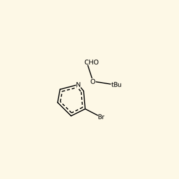 Brc1cccnc1.CC(C)(C)OC=O